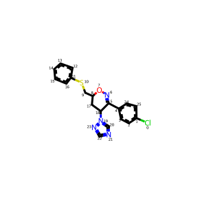 Clc1ccc(C2=NOC(CSc3ccccc3)CC2n2cncn2)cc1